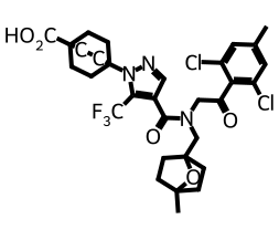 Cc1cc(Cl)c(C(=O)CN(CC23CCC(C)(CC2)O3)C(=O)c2cnn(C34CCC(C(=O)O)(CC3)CC4)c2C(F)(F)F)c(Cl)c1